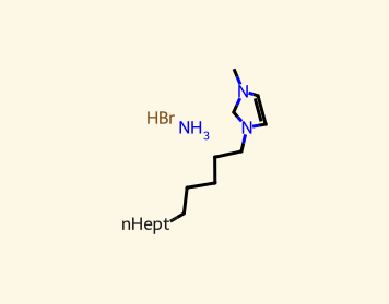 Br.CCCCCCCCCCCCN1C=CN(C)C1.N